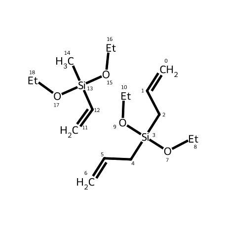 C=CC[Si](CC=C)(OCC)OCC.C=C[Si](C)(OCC)OCC